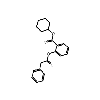 O=C(Cc1ccccc1)Oc1ccccc1C(=O)OC1CCCCC1